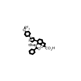 CC(C)(C)N(C(=O)c1ccccc1)c1c(-c2cnn(-c3ccc(OC(F)(F)F)cc3)c2)ccc2cc(C(=O)O)oc12